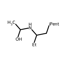 CCCC(C)CC(CC)NC(C)O